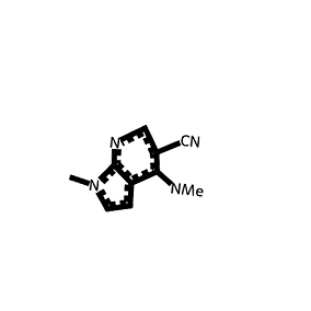 CNc1c(C#N)cnc2c1ccn2C